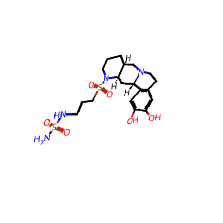 NS(=O)(=O)NCCCS(=O)(=O)N1CCC[C@H]2CN3CCc4cc(O)c(O)cc4[C@@H]3C[C@H]21